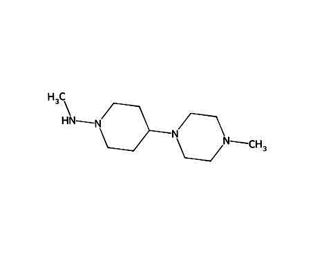 CNN1CCC(N2CCN(C)CC2)CC1